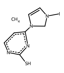 C.Sc1nccc(N2C=CN(I)C2)n1